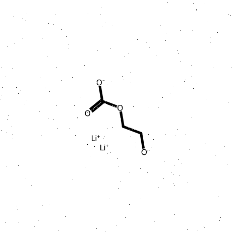 O=C([O-])OCC[O-].[Li+].[Li+]